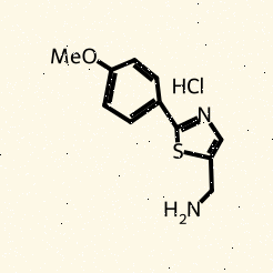 COc1ccc(-c2ncc(CN)s2)cc1.Cl